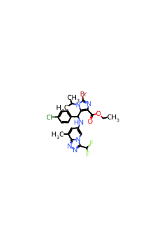 CCOC(=O)c1nc(Br)n(C(C)C)c1C(Nc1cc(C)c2nnc(C(F)F)n2c1)c1ccc(Cl)cc1